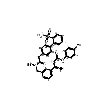 CC(C)N(Cc1cccc(C(=N)NC(=O)Oc2ccc(F)cc2)c1)C(=O)Cc1ccc(-c2ccccc2S(N)(=O)=O)cc1